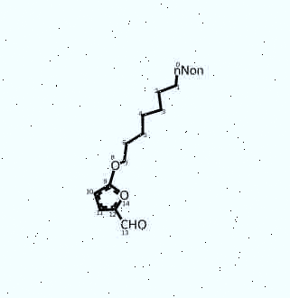 CCCCCCCCCCCCCCCCOc1ccc(C=O)o1